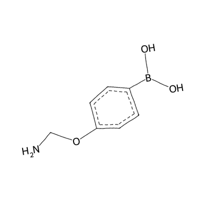 NCOc1ccc(B(O)O)cc1